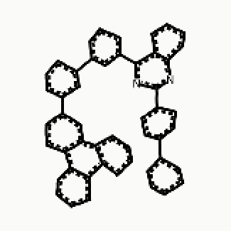 c1ccc(-c2ccc(-c3nc(-c4cccc(-c5cccc(-c6ccc7c8ccccc8c8ccccc8c7c6)c5)c4)c4ccccc4n3)cc2)cc1